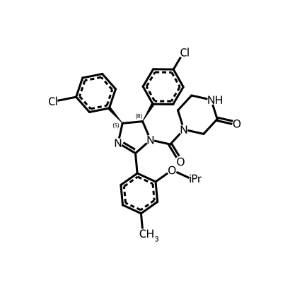 Cc1ccc(C2=N[C@@H](c3cccc(Cl)c3)[C@@H](c3ccc(Cl)cc3)N2C(=O)N2CCNC(=O)C2)c(OC(C)C)c1